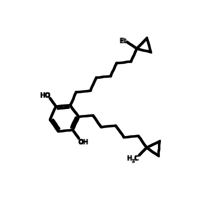 CCC1(CCCCCCc2c(O)ccc(O)c2CCCCCC2(C)CC2)CC1